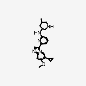 COc1cc2ncc(-c3cccc(NC4CNCC(C)C4)n3)n2cc1C1CC1